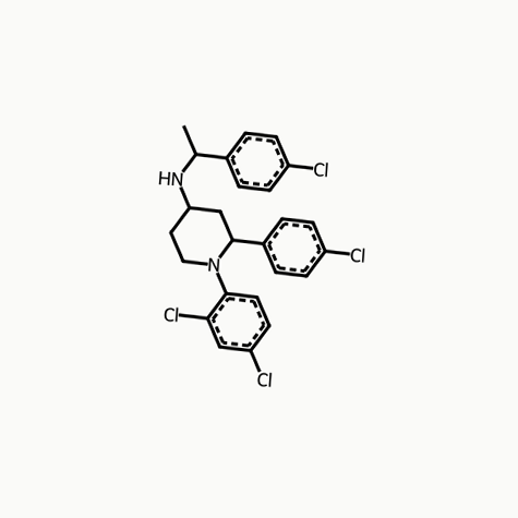 CC(NC1CCN(c2ccc(Cl)cc2Cl)C(c2ccc(Cl)cc2)C1)c1ccc(Cl)cc1